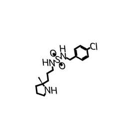 C[C@]1(CCCNS(=O)(=O)NCc2ccc(Cl)cc2)CCCN1